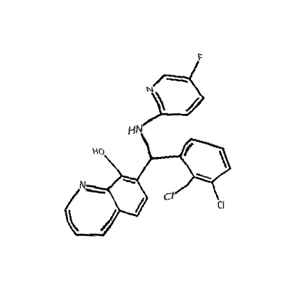 Oc1c(C(Nc2ccc(F)cn2)c2cccc(Cl)c2Cl)ccc2cccnc12